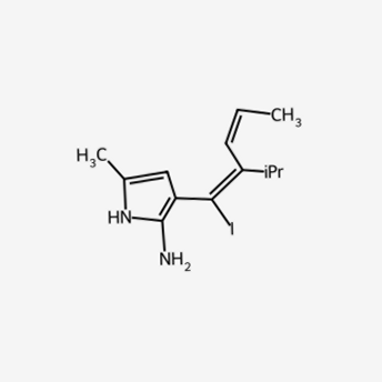 C/C=C\C(=C(\I)c1cc(C)[nH]c1N)C(C)C